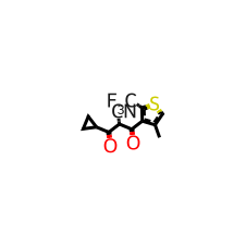 Cc1csc(C(F)(F)F)c1C(=O)C(C#N)C(=O)C1CC1